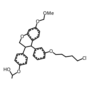 COCOc1ccc2c(c1)OCC(c1ccc(OC(C)O)cc1)C2c1cccc(OCCCCCCl)c1